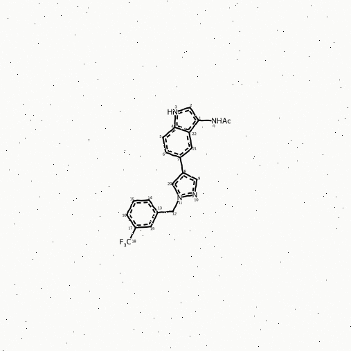 CC(=O)Nc1c[nH]c2ccc(-c3cnn(Cc4cccc(C(F)(F)F)c4)c3)cc12